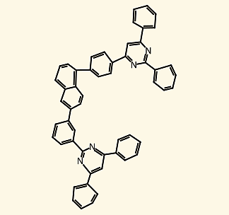 c1ccc(-c2cc(-c3ccc(-c4cccc5cc(-c6cccc(-c7nc(-c8ccccc8)cc(-c8ccccc8)n7)c6)ccc45)cc3)nc(-c3ccccc3)n2)cc1